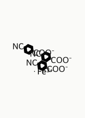 N#Cc1ccc(C(=O)[O-])cc1.N#Cc1ccc(C(=O)[O-])cc1.N#Cc1ccc(C(=O)[O-])cc1.[Fe+3]